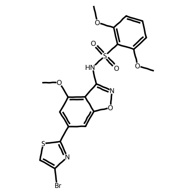 COc1cccc(OC)c1S(=O)(=O)Nc1noc2cc(-c3nc(Br)cs3)cc(OC)c12